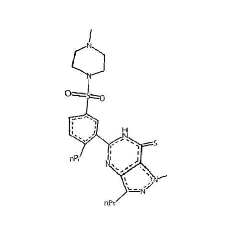 CCCc1ccc(S(=O)(=O)N2CCN(C)CC2)cc1-c1nc2c(CCC)nn(C)c2c(=S)[nH]1